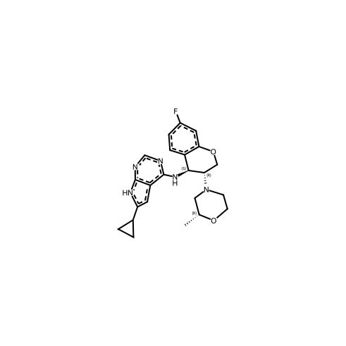 C[C@@H]1CN([C@H]2COc3cc(F)ccc3[C@@H]2Nc2ncnc3[nH]c(C4CC4)cc23)CCO1